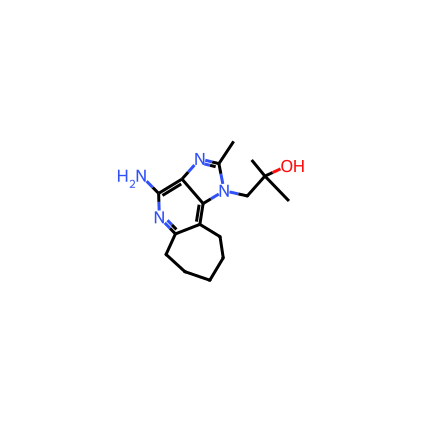 Cc1nc2c(N)nc3c(c2n1CC(C)(C)O)CCCCC3